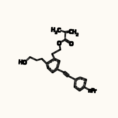 C=C(C)C(=O)OCCc1cc(C#Cc2ccc(CCC)cc2)ccc1CCCO